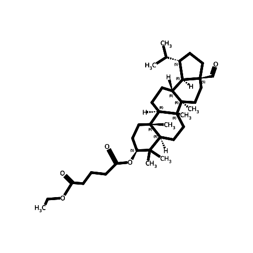 CCOC(=O)CCCC(=O)O[C@H]1CC[C@]2(C)[C@H]3CC[C@@H]4[C@H]5[C@H](C(C)C)CC[C@]5(C=O)CC[C@@]4(C)[C@]3(C)CC[C@H]2C1(C)C